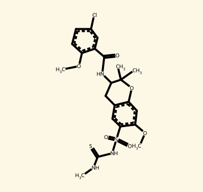 CNC(=S)NS(=O)(=O)c1cc2c(cc1OC)OC(C)(C)C(NC(=O)c1cc(Cl)ccc1OC)C2